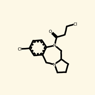 O=C(CCCl)N1CC2CCCN2Cc2cc(Cl)ccc21